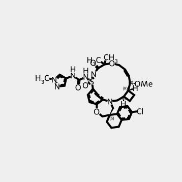 CO[C@H]1C=CCOC(C)(C)C(=O)N=[S@](=O)(NC(=O)Nc2cnn(C)c2)c2ccc3c(c2)N(C[C@@H]2CC[C@H]21)C[C@@]1(CCCc2cc(Cl)ccc21)CO3